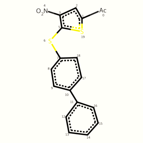 CC(=O)c1cc([N+](=O)[O-])c(Sc2ccc(-c3ccccc3)cc2)s1